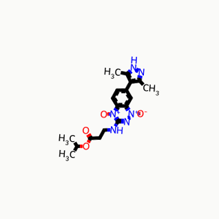 Cc1n[nH]c(C)c1-c1ccc2c(c1)[n+]([O-])nc(NCCC(=O)OC(C)C)[n+]2[O-]